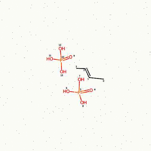 CC=CC.O=P(O)(O)O.O=P(O)(O)O